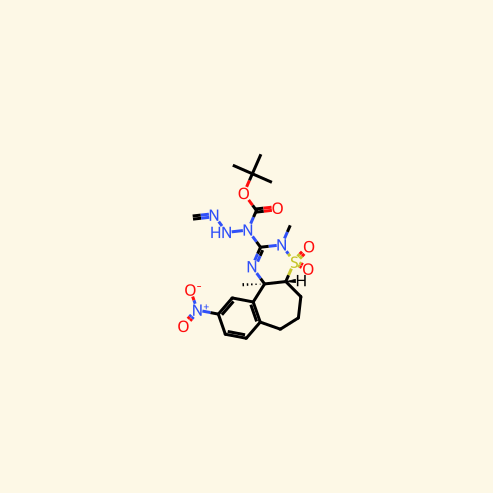 C=NNN(C(=O)OC(C)(C)C)C1=N[C@]2(C)c3cc([N+](=O)[O-])ccc3CCC[C@H]2S(=O)(=O)N1C